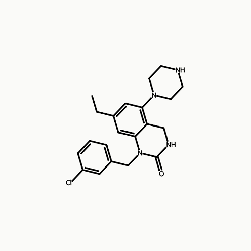 CCc1cc(N2CCNCC2)c2c(c1)N(Cc1cccc(Cl)c1)C(=O)NC2